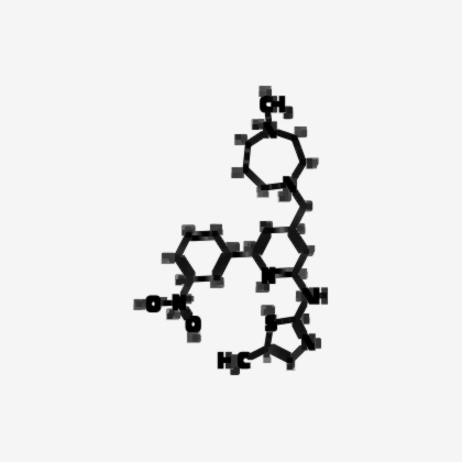 Cc1cnc(Nc2cc(CN3CCCN(C)CC3)cc(-c3cccc([N+](=O)[O-])c3)n2)s1